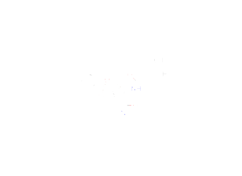 CC(C)CC(O)C(=O)Nc1sc(S(=O)(=O)c2ccc(F)cc2)cc1C(N)=O